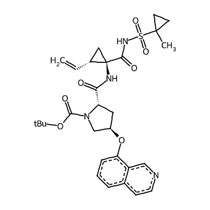 C=C[C@@H]1C[C@]1(NC(=O)[C@@H]1C[C@@H](Oc2cccc3ccncc23)CN1C(=O)OC(C)(C)C)C(=O)NS(=O)(=O)C1(C)CC1